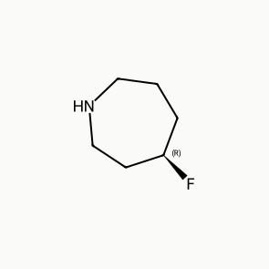 F[C@@H]1CCCNCC1